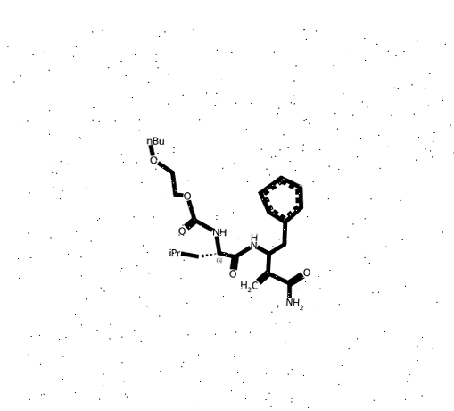 C=C(C(N)=O)C(Cc1ccccc1)NC(=O)[C@H](CC(C)C)NC(=O)OCCOCCCC